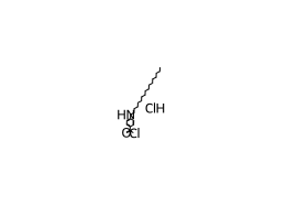 CCCCCCCCCCCCCCCCNc1ccc(C(=O)Cl)cc1.Cl